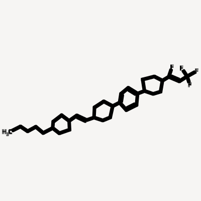 CCCCCC1CCC(/C=C/C2CCC(c3ccc(C4CCC(/C(F)=C/C(F)(F)F)CC4)cc3)CC2)CC1